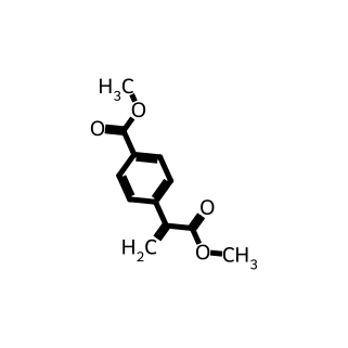 C=C(C(=O)OC)c1ccc(C(=O)OC)cc1